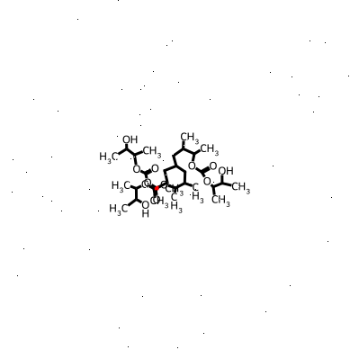 CC(O)C(C)OC(=O)OC(C)C(C)CC(CC(C)C(C)OC(=O)OC(C)C(C)O)CC(C)C(C)OC(=O)OC(C)C(C)O